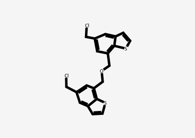 ClCc1cc(COCc2cc(CCl)cc3ccsc23)c2sccc2c1